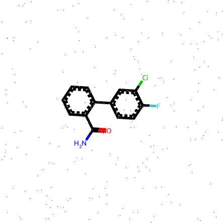 NC(=O)c1ccccc1-c1ccc(F)c(Cl)c1